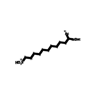 CCCCCCCCCCC(CCCCCCCCCCS(=O)(=O)O)C(C)=O